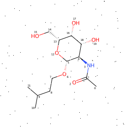 CC(=O)N[C@H]1[C@H](OCCC(C)C)O[C@H](CO)[C@H](O)[C@@H]1O